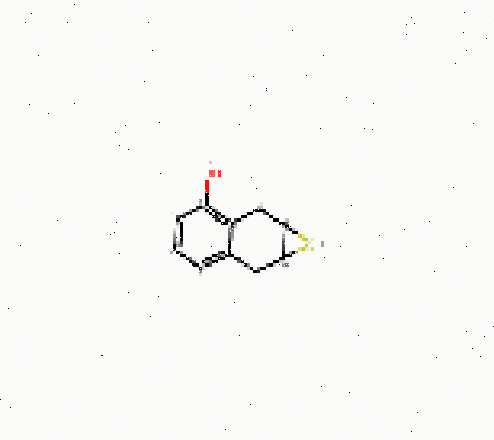 Oc1cccc2c1CC1SC1C2